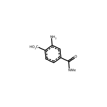 CNC(=O)c1ccc(C(=O)O)c(N)c1